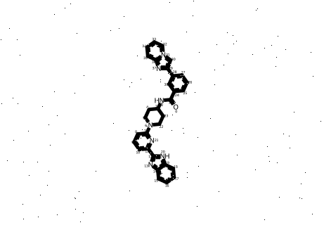 O=C(NC1CCN(c2cccc(-c3nc4ccccc4[nH]3)n2)CC1)c1cccc(-c2cn3ccccc3n2)c1